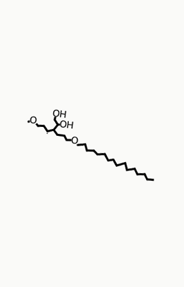 CCCCCCCCCCCCCCCCOCCCC([CH]CCOC)C(O)CO